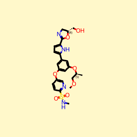 CNS(=O)(=O)c1ccc(Oc2cc(O[C@@H](C)COC)cc(-c3ccc(C4=NC[C@H](CO)O4)[nH]3)c2)cn1